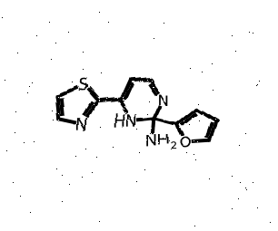 NC1(c2ccco2)N=CC=C(c2nccs2)N1